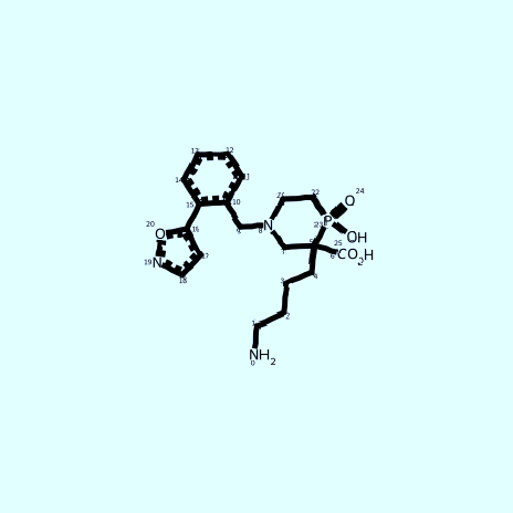 NCCCCC1(C(=O)O)CN(Cc2ccccc2-c2ccno2)CCP1(=O)O